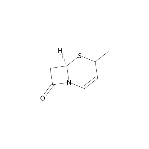 CC1C=CN2C(=O)C[C@H]2S1